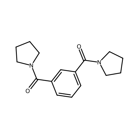 O=C(c1cccc(C(=O)N2CCCC2)c1)N1CCCC1